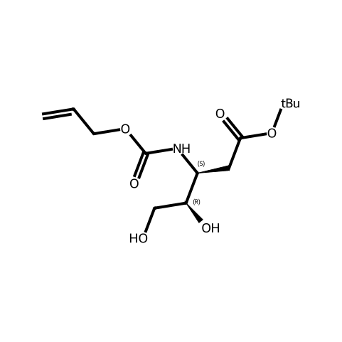 C=CCOC(=O)N[C@@H](CC(=O)OC(C)(C)C)[C@@H](O)CO